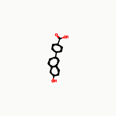 O=C(O)c1ccc(-c2ccc3cc(O)ccc3c2)cc1